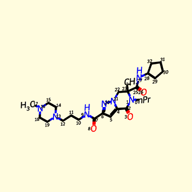 CCCN1C(=O)c2cc(C(=O)NCCCN3CCN(C)CC3)nn2CC1(C)C(=O)NC1CCCC1